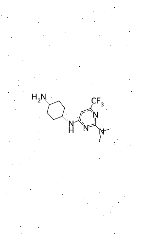 CN(C)c1nc(N[C@H]2CC[C@@H](N)CC2)cc(C(F)(F)F)n1